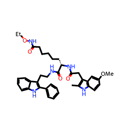 CCONC(=O)CCCCC[C@H](NC(=O)Cc1c(C)[nH]c2ccc(OC)cc12)C(=O)NCCc1c(-c2ccccc2)[nH]c2ccccc12